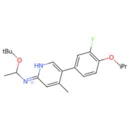 Cc1c/c(=N/C(C)OC(C)(C)C)[nH]cc1-c1ccc(OC(C)C)c(F)c1